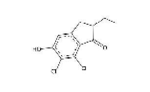 CCC1Cc2cc(O)c(Cl)c(Cl)c2C1=O